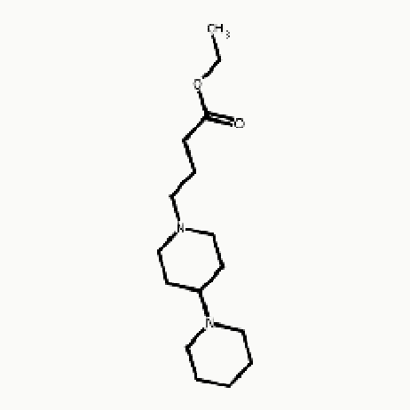 CCOC(=O)CCCN1CCC(N2CCCCC2)CC1